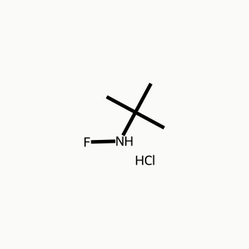 CC(C)(C)NF.Cl